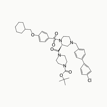 CC(C)(C)OC(=O)N1CCN(C(=O)[C@@H]2CN(Cc3ccc(-c4ccc(Cl)cc4)cc3)CCN2S(=O)(=O)c2ccc(OCC3CCCCC3)cc2)CC1